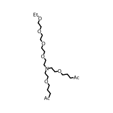 CCOCCOCCOCCOCCN(CCOCCCC(C)=O)CCOCCCC(C)=O